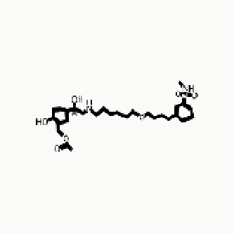 CNS(=O)(=O)c1cccc(CCCCOCCCCCCNC[C@H](O)c2ccc(O)c(COC(C)=O)c2)c1